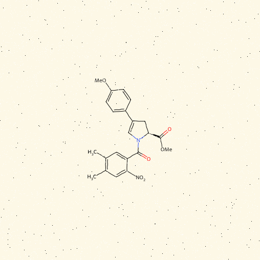 COC(=O)[C@@H]1CC(c2ccc(OC)cc2)=CN1C(=O)c1cc(C)c(C)cc1[N+](=O)[O-]